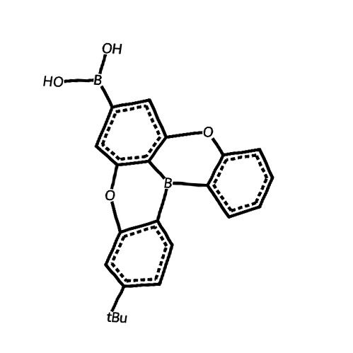 CC(C)(C)c1ccc2c(c1)Oc1cc(B(O)O)cc3c1B2c1ccccc1O3